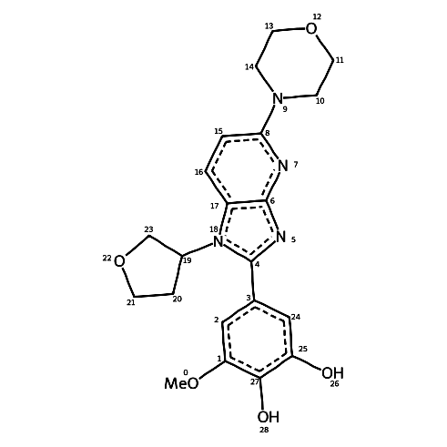 COc1cc(-c2nc3nc(N4CCOCC4)ccc3n2C2CCOC2)cc(O)c1O